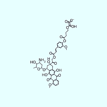 COc1cc(/C=C/C(=O)OCC(=O)[C@]2(O)Cc3c(O)c4c(c(O)c3[C@@H](OC3CC(N)C(O)C(C)O3)C2)C(=O)c2c(OC)cccc2C4=O)ccc1OC(=O)CCCON(O)[N+](=O)[O-]